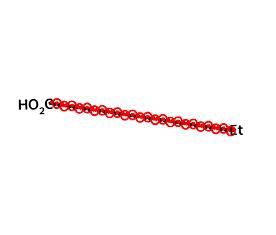 CCOCCOCCOCCOCCOCCOCCOCCOCCOCCOCCOCCOCCOCCOCCOCCOCCOCCOCCOCCOCCOCCOCCOCCOCCC(=O)O